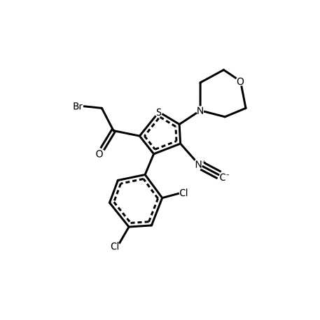 [C-]#[N+]c1c(N2CCOCC2)sc(C(=O)CBr)c1-c1ccc(Cl)cc1Cl